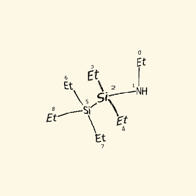 CCN[Si](CC)(CC)[Si](CC)(CC)CC